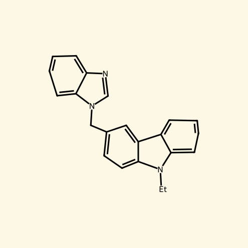 CCn1c2ccccc2c2cc(Cn3cnc4ccccc43)ccc21